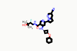 CC(C)(O)[C@H](F)CNC(=O)c1cnc(-c2ccc3cc(C#N)cnn23)cc1N[C@H]1C[C@H](Oc2ccccc2)C1